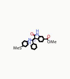 COC(=O)c1ccc2c(c1)NC(=O)/C2=C(\Nc1ccc(SC)cc1)c1ccccc1